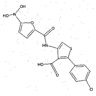 O=C(Nc1csc(-c2ccc(Cl)cc2)c1C(=O)O)c1ccc(N(O)O)o1